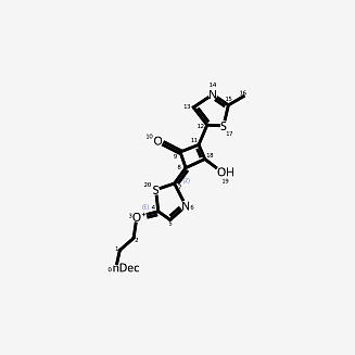 CCCCCCCCCCCC/[O+]=C1C=N/C(=C2/C(=O)C(c3cnc(C)s3)=C2O)S\1